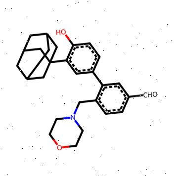 O=Cc1ccc(CN2CCOCC2)c(-c2ccc(O)c(C34CC5CC(CC(C5)C3)C4)c2)c1